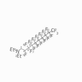 CCN(CC)CC(F)C(F)(F)C(F)(F)C(F)(F)C(F)(F)C(F)(F)C(F)(F)C(F)(F)C(F)(F)F